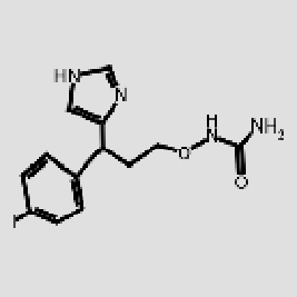 NC(=O)NOCCC(c1ccc(I)cc1)c1c[nH]cn1